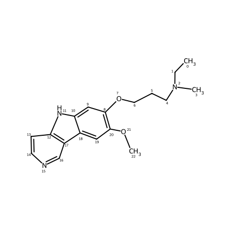 CCN(C)CCCOc1cc2[nH]c3ccncc3c2cc1OC